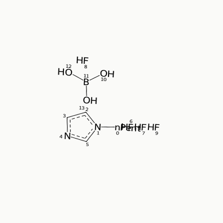 CCCCCn1ccnc1.F.F.F.F.OB(O)O